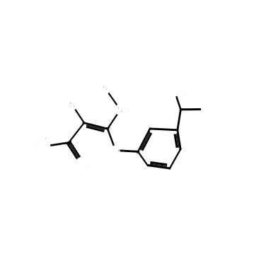 CC(C)c1cccc(O/C(NN)=C(/N)C(=O)O)c1